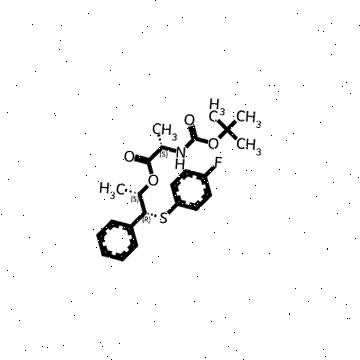 C[C@H](NC(=O)OC(C)(C)C)C(=O)O[C@@H](C)[C@H](Sc1ccc(F)cc1)c1ccccc1